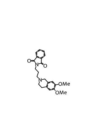 COc1cc2c(cc1OC)CN(CCCN1C(=O)c3ccccc3C1=O)CC2